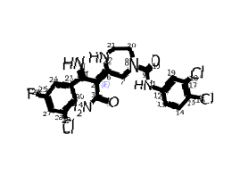 N=C(/C(C(N)=O)=C1/CN(C(=O)Nc2ccc(Cl)c(Cl)c2)CCN1)c1cc(F)cc(Cl)c1